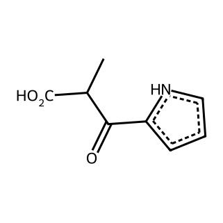 CC(C(=O)O)C(=O)c1ccc[nH]1